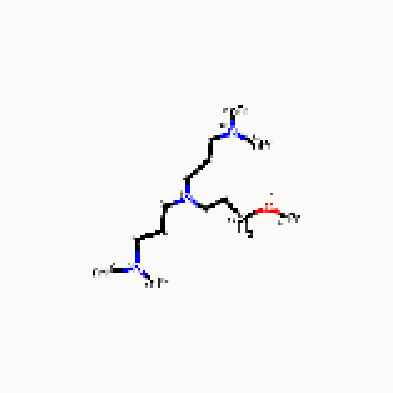 CCCN(CCC)CCCN(CCCN(CCC)CCC)CC[SiH2]OC(C)C